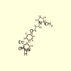 CCc1c(-c2ccc(OCCCN3CCC[C@H]3C)cc2)cn[nH]c1=O